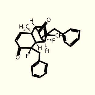 CC1=C[C@H]2C(=O)[C@@](F)(Cc3ccccc3)[C@@H]1[C@@H]1[C@@]2(C)C=CC(=O)[C@@]1(F)Cc1ccccc1